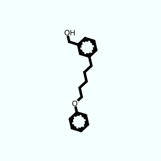 OCc1cccc(CCCCCOc2ccccc2)c1